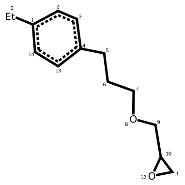 CCc1ccc(CCCOCC2CO2)cc1